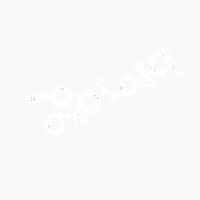 CCN(CC)S(=O)(=O)c1ccc(OC(=O)N2CCC(C(O)(c3ccccc3)c3cccc(C#N)c3)CC2)cc1